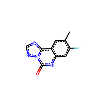 Cc1cc2c(cc1F)[nH]c(=O)n1ncnc21